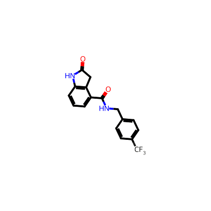 O=C1Cc2c(cccc2C(=O)NCc2ccc(C(F)(F)F)cc2)N1